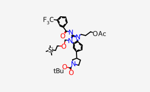 CC(=O)OCCCn1/c(=N/C(=O)c2cccc(C(F)(F)F)c2)n(COCC[Si](C)(C)C)c2cc(C3CCN(C(=O)OC(C)(C)C)C3)ccc21